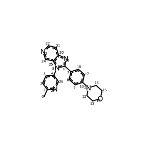 Cc1ccc(-n2c(-c3ccc(N4CCOCC4)cc3)nc3ccncc32)cn1